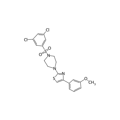 COc1cccc(-c2csc(N3CCN(S(=O)(=O)c4cc(Cl)cc(Cl)c4)CC3)n2)c1